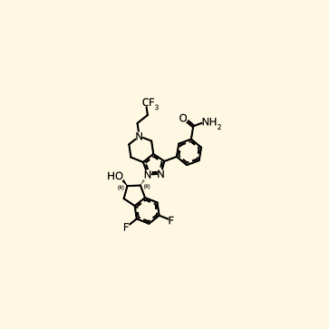 NC(=O)c1cccc(-c2nn([C@@H]3c4cc(F)cc(F)c4C[C@H]3O)c3c2CN(CCC(F)(F)F)CC3)c1